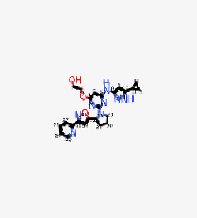 OCCOc1cc(Nc2cc(C3CC3)[nH]n2)nc(N2CCCC2c2cc(-c3ccccn3)no2)n1